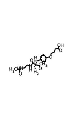 CC(=O)NCCNC(=O)C(N)(Nc1ccc(OCCCC(=O)O)cc1)C(C)=O